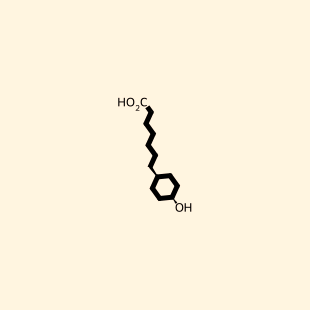 O=C(O)CCCCCC[C@H]1CC[C@H](O)CC1